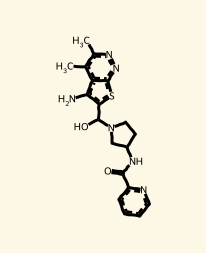 Cc1nnc2sc(C(O)N3CCC(NC(=O)c4ccccn4)C3)c(N)c2c1C